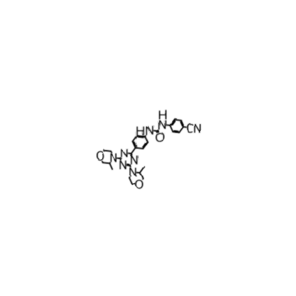 CC1COCCN1c1nc(-c2ccc(NC(=O)Nc3ccc(C#N)cc3)cc2)nc(N2CCOCC2C)n1